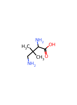 CC(C)(CN)C(N)C(=O)O